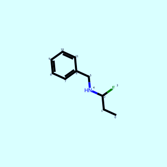 CCC(F)NCc1ccccc1